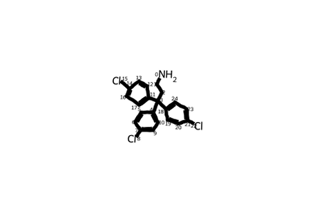 NCCC(c1ccc(Cl)cc1)(c1ccc(Cl)cc1)c1ccc(Cl)cc1